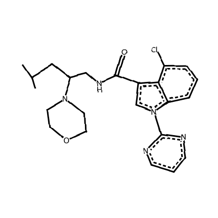 CC(C)CC(CNC(=O)c1cn(-c2ncccn2)c2cccc(Cl)c12)N1CCOCC1